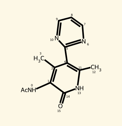 CC(=O)Nc1c(C)c(-c2ncccn2)c(C)[nH]c1=O